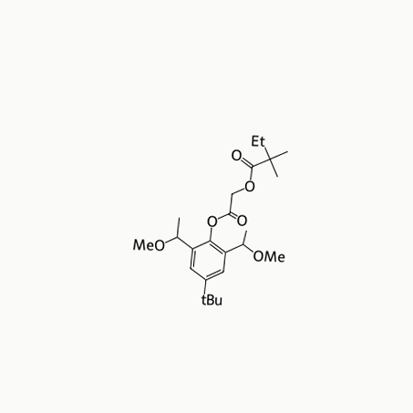 CCC(C)(C)C(=O)OCC(=O)Oc1c(C(C)OC)cc(C(C)(C)C)cc1C(C)OC